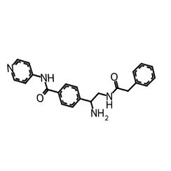 NC(CNC(=O)Cc1ccccc1)c1ccc(C(=O)Nc2ccncc2)cc1